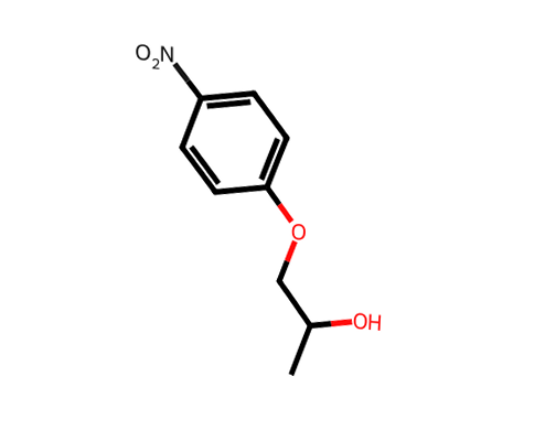 CC(O)COc1ccc([N+](=O)[O-])cc1